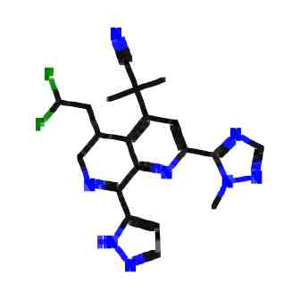 Cn1ncnc1-c1cc(C(C)(C)C#N)c2c(n1)C(c1ccn[nH]1)=NCC2CC(F)F